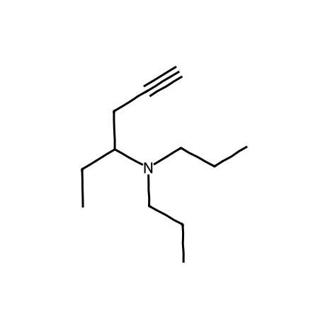 C#CCC(CC)N(CCC)CCC